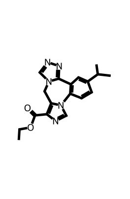 CCOC(=O)c1ncn2c1Cn1cnnc1-c1cc(C(C)C)ccc1-2